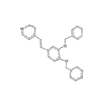 C(=C\c1ccc(OCc2ccccc2)c(OCc2ccccc2)c1)/c1ccncc1